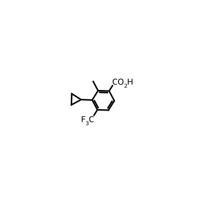 Cc1c(C(=O)O)ccc(C(F)(F)F)c1C1CC1